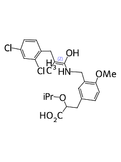 COc1ccc(CC(OC(C)C)C(=O)O)cc1CN/C(O)=C(\C)Cc1ccc(Cl)cc1Cl